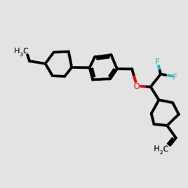 C=CC1CCC(C(OCc2ccc(C3CCC(CC)CC3)cc2)C(F)F)CC1